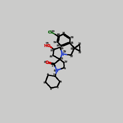 O=C1N(C2CCCCC2)CCC12C[C@@H](O)CN2CC1(c2ccc(Cl)cc2)CC1